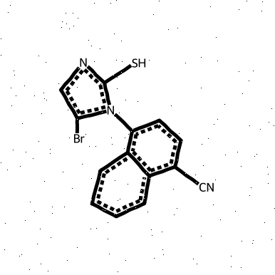 N#Cc1ccc(-n2c(Br)cnc2S)c2ccccc12